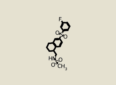 CS(=O)(=O)NCC1CCCc2cc(S(=O)(=O)c3cccc(F)c3)ccc21